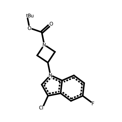 CC(C)(C)OC(=O)N1CC(n2cc(Cl)c3cc(F)ccc32)C1